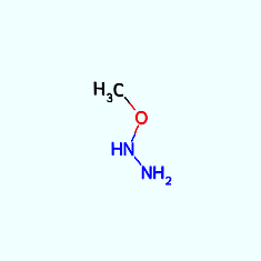 CONN